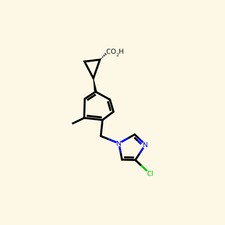 Cc1cc([C@H]2C[C@@H]2C(=O)O)ccc1Cn1cnc(Cl)c1